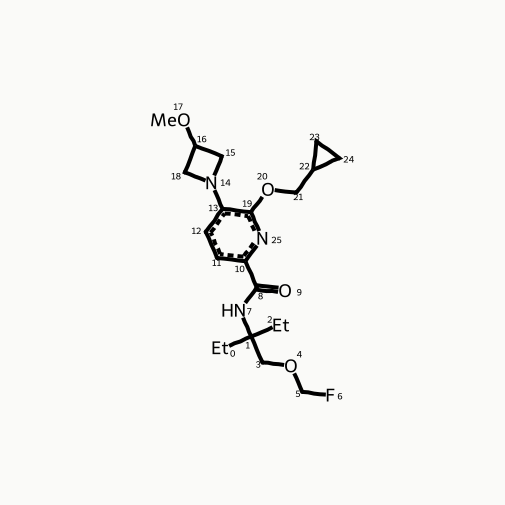 CCC(CC)(COCF)NC(=O)c1ccc(N2CC(OC)C2)c(OCC2CC2)n1